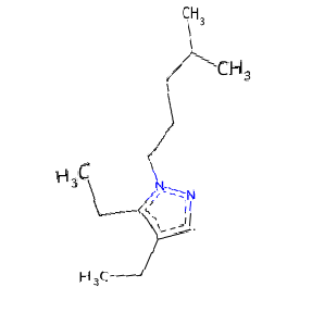 CCc1[c]nn(CCCC(C)C)c1CC